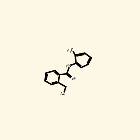 CC(=O)Cc1ccccc1C(=[Se])Nc1ccccc1C